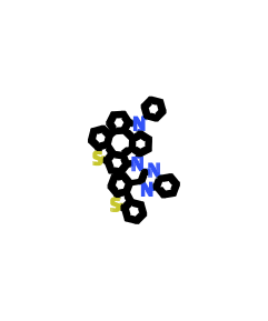 c1ccc(-n2c3cccc4c5cccc6sc7ccc8c(c7c65)c5c(c43)c2ccc5n8-c2nc3ccccc3nc2-c2cccc3sc4ccccc4c23)cc1